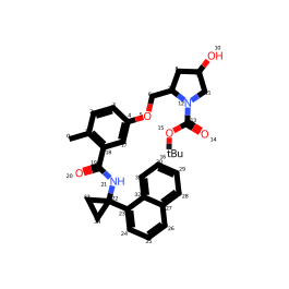 Cc1ccc(OCC2CC(O)CN2C(=O)OC(C)(C)C)cc1C(=O)NC1(c2cccc3ccccc23)CC1